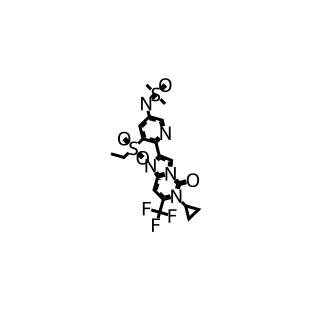 CCS(=O)(=O)c1cc(N=S(C)(C)=O)cnc1-c1cn2c(=O)n(C3CC3)c(C(F)(F)F)cc2n1